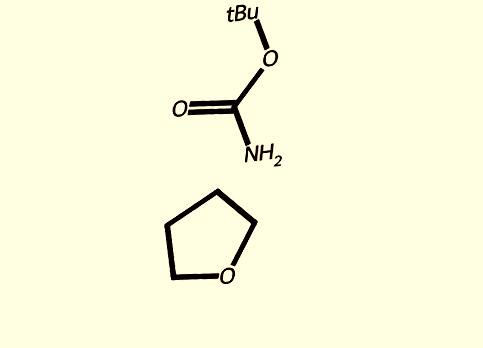 C1CCOC1.CC(C)(C)OC(N)=O